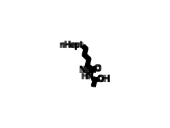 CCCCCCCCCCCC(=O)NC(C)O.[NaH]